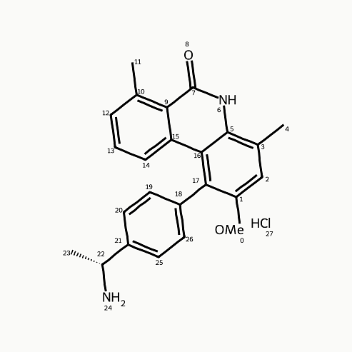 COc1cc(C)c2[nH]c(=O)c3c(C)cccc3c2c1-c1ccc([C@@H](C)N)cc1.Cl